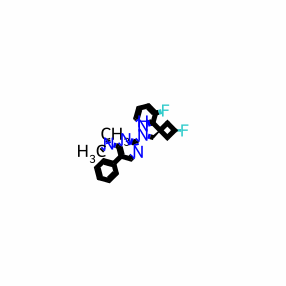 CN(C)c1nc(NC[C@]2(c3ncccc3F)C[C@H](F)C2)ncc1-c1ccccc1